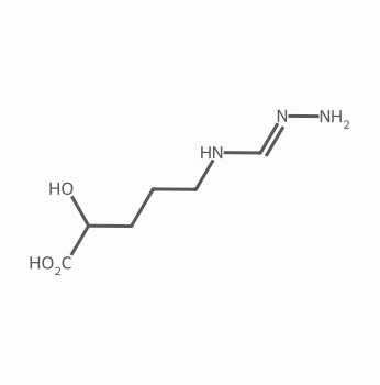 NN=CNCCCC(O)C(=O)O